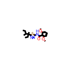 CCC(C)C(C)(CC)c1nnc(NC(=O)c2c(OC)cccc2OC)s1